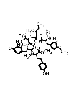 CC[C@@H](C)[C@H](OC(=O)[C@@H](Cc1ccc(OC)cc1)N(C)C)C(=O)NC(C(=O)N(C)[C@H](Cc1ccc(O)cc1)C(=O)N(C)[C@H](CCc1ccc(O)cc1)C(=O)OC)C(C)C